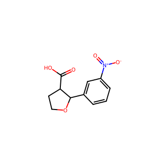 O=C(O)C1CCOC1c1cccc([N+](=O)[O-])c1